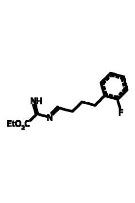 CCOC(=O)C(=N)/N=C/CCCc1ccccc1F